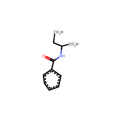 O=C(O)CC(NC(=O)c1ccccc1)C(=O)O